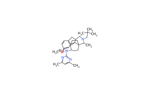 COc1ccc2c(c1)C13C(C2)CN(CC(C)(C)C)C(C)C12CCC(N(C)c1nc(C)cc(C)n1)C3CC2